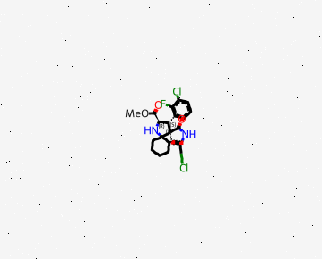 COC(=O)[C@@H]1NC2(CCCCC2)[C@]2(C(=O)Nc3cc(Cl)ccc32)[C@H]1c1cccc(Cl)c1F